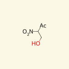 CC(=O)C(CO)[N+](=O)[O-]